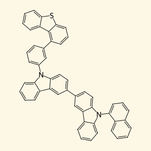 c1cc(-c2cccc3sc4ccccc4c23)cc(-n2c3ccccc3c3cc(-c4ccc5c(c4)c4ccccc4n5-c4cccc5ccccc45)ccc32)c1